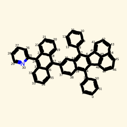 c1ccc(-c2c3c(c(-c4ccccc4)c4cc(-c5c6ccccc6c(-c6ccccn6)c6ccccc56)ccc24)-c2cccc4cccc-3c24)cc1